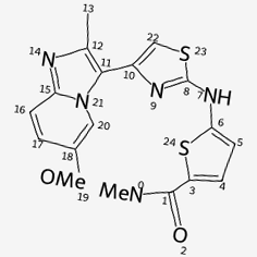 CNC(=O)c1ccc(Nc2nc(-c3c(C)nc4ccc(OC)cn34)cs2)s1